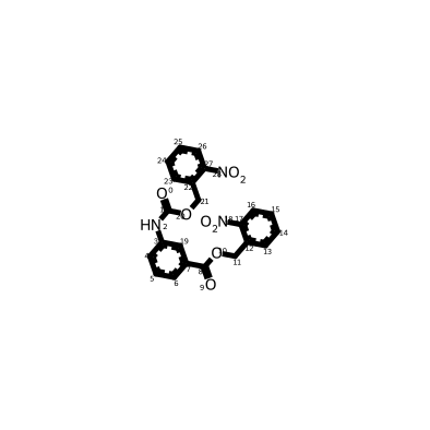 O=C(Nc1cccc(C(=O)OCc2ccccc2[N+](=O)[O-])c1)OCc1ccccc1[N+](=O)[O-]